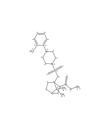 COC(=O)C1CC2CCC1(CS(=O)(=O)N1CCN(c3ccccc3C)CC1)C2(C)C